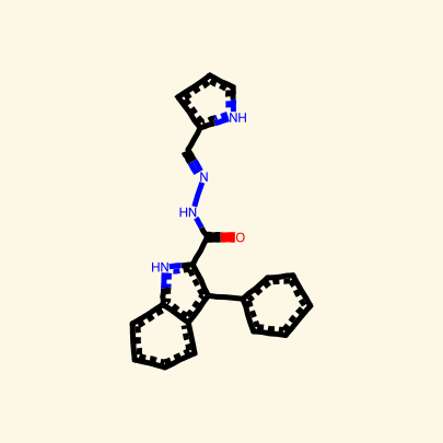 O=C(NN=Cc1ccc[nH]1)c1[nH]c2ccccc2c1-c1ccccc1